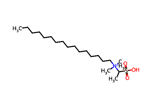 CCCCCCCCCCCCCCCC[N+](C)(C)C(C)S(=O)(=O)O